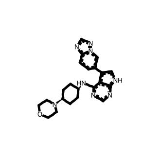 c1nc(N[C@H]2CC[C@H](N3CCOCC3)CC2)c2c(-c3ccc4ncnn4c3)c[nH]c2n1